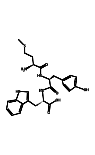 CSCC[C@H](N)C(=O)N[C@@H](Cc1ccc(O)cc1)C(=O)N[C@@H](Cc1c[nH]c2ccccc12)C(=O)O